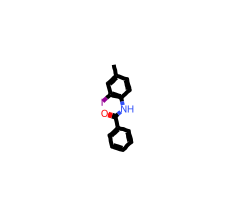 Cc1ccc(NC(=O)c2ccccc2)c(I)c1